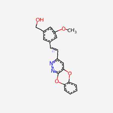 COc1cc(/C=C/c2cc3c(nn2)Oc2ccccc2O3)cc(CO)c1